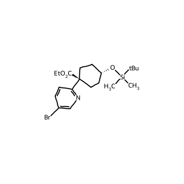 CCOC(=O)[C@]1(c2ccc(Br)cn2)CC[C@@H](O[Si](C)(C)C(C)(C)C)CC1